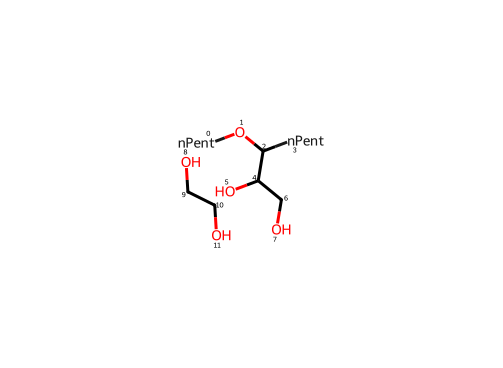 CCCCCOC(CCCCC)C(O)CO.OCCO